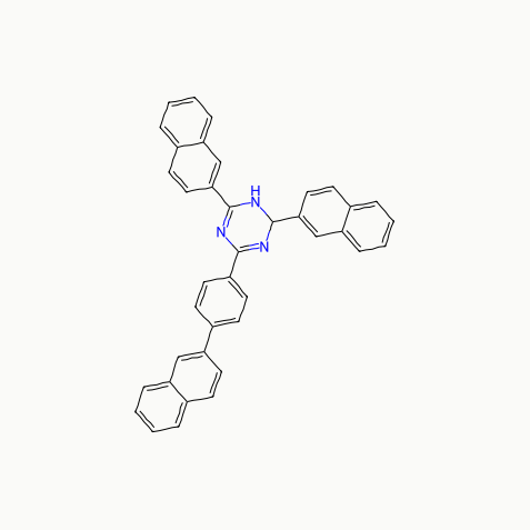 c1ccc2cc(C3=NC(c4ccc(-c5ccc6ccccc6c5)cc4)=NC(c4ccc5ccccc5c4)N3)ccc2c1